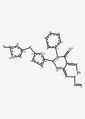 C=CC/C=C\C(=C/C(C)C)C(=O)N(c1ccccc1)C(NC)c1ccc(Cc2csc(C)n2)s1